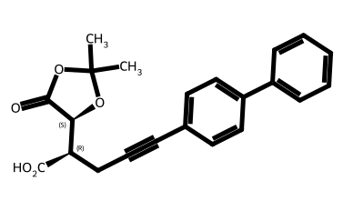 CC1(C)OC(=O)[C@H]([C@@H](CC#Cc2ccc(-c3ccccc3)cc2)C(=O)O)O1